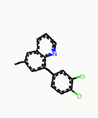 Cc1cc(-c2ccc(Cl)c(Cl)c2)c2ncccc2c1